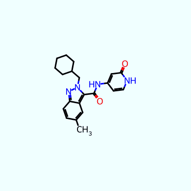 Cc1ccc2nn(CC3CCCCC3)c(C(=O)Nc3cc[nH]c(=O)c3)c2c1